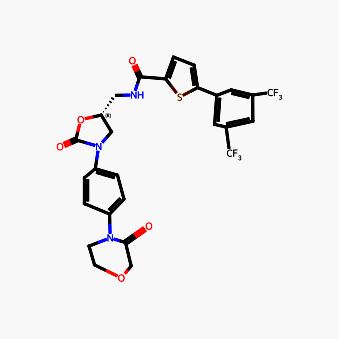 O=C(NC[C@@H]1CN(c2ccc(N3CCOCC3=O)cc2)C(=O)O1)c1ccc(-c2cc(C(F)(F)F)cc(C(F)(F)F)c2)s1